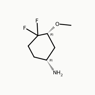 CO[C@@H]1C[C@H](N)CCC1(F)F